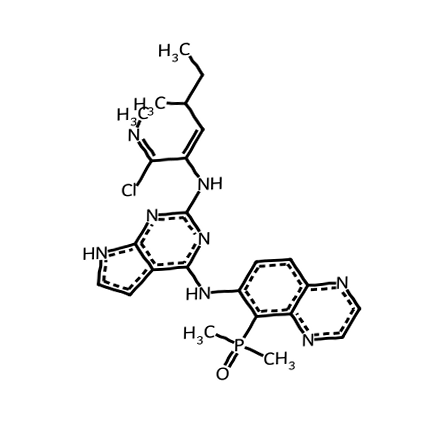 CCC(C)/C=C(Nc1nc(Nc2ccc3nccnc3c2P(C)(C)=O)c2cc[nH]c2n1)\C(Cl)=N/C